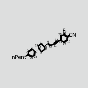 CCCCCc1ccc([C@H]2CC[C@H](C=CC#Cc3ccc(C#N)c(F)c3)CC2)cc1